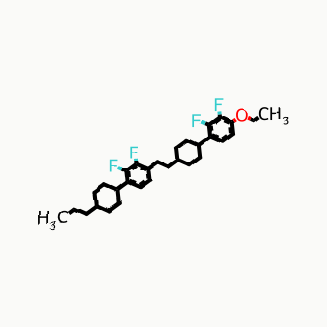 CCCC1CCC(c2ccc(CCC3CCC(c4ccc(OCC)c(F)c4F)CC3)c(F)c2F)CC1